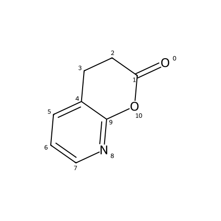 O=C1CCc2cccnc2O1